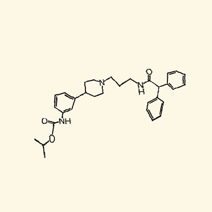 CC(C)OC(=O)Nc1cccc(C2CCN(CCCNC(=O)C(c3ccccc3)c3ccccc3)CC2)c1